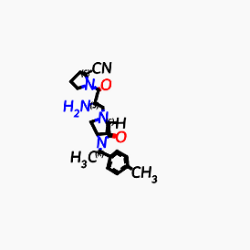 Cc1ccc([C@@H](C)N2C(=O)[C@@H]3CC2CN3C[C@H](N)C(=O)N2CCC[C@H]2C#N)cc1